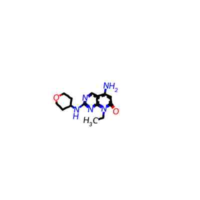 CCn1c(=O)cc(N)c2cnc(NC3CCOCC3)nc21